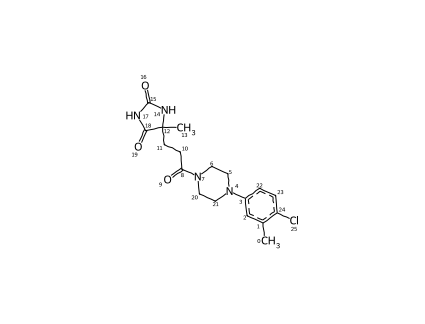 Cc1cc(N2CCN(C(=O)CCC3(C)NC(=O)NC3=O)CC2)ccc1Cl